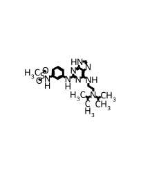 CC(C)N(CCNc1nc(Nc2cccc(NS(C)(=O)=O)c2)nc2[nH]cnc12)C(C)C